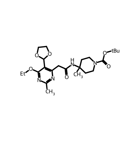 CCOc1nc(C)nc(CC(=O)NC2(C)CCN(C(=O)OC(C)(C)C)CC2)c1C1OCCO1